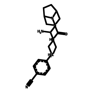 CCNC(=O)N1CC2CCC(C1)N2CC(N)CCOc1ccc(C#N)cc1